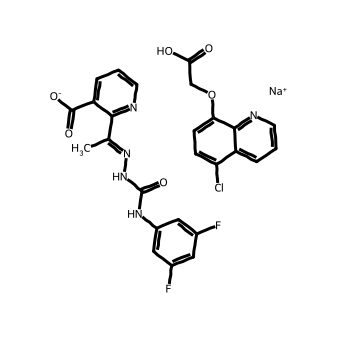 C/C(=N\NC(=O)Nc1cc(F)cc(F)c1)c1ncccc1C(=O)[O-].O=C(O)COc1ccc(Cl)c2cccnc12.[Na+]